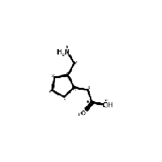 NCC1CCCC1CC(=O)O